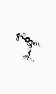 CN(C=O)CCCOCC(=O)N(C)Cc1ccc(CC(=O)N2CCC2=O)cc1